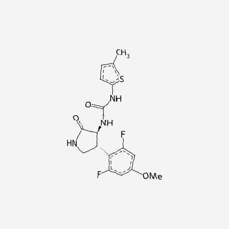 COc1cc(F)c([C@@H]2CNC(=O)[C@H]2NC(=O)Nc2ccc(C)s2)c(F)c1